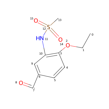 CCOc1ccc([C]=O)cc1NS(C)(=O)=O